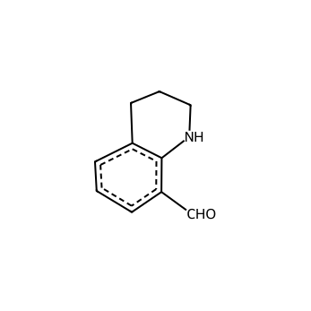 O=Cc1cccc2c1NCCC2